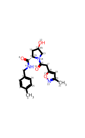 Cc1ccc(CNC(=O)[C@@H]2C[C@@H](O)CN2C(=O)Cc2cc(C)no2)cc1